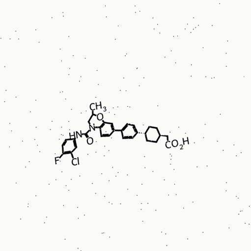 CC1CN(C(=O)Nc2ccc(F)c(Cl)c2)c2ccc(-c3ccc([C@H]4CC[C@H](CC(=O)O)CC4)cc3)cc2O1